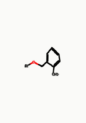 CCOCc1ccccc1[C]=O